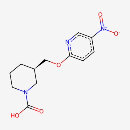 O=C(O)N1CCC[C@@H](COc2ccc([N+](=O)[O-])cn2)C1